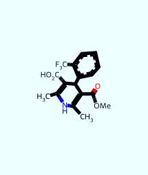 COC(=O)C1=C(C)NC(C)=C(C(=O)O)C1c1ccccc1C(F)(F)F